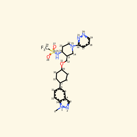 Cn1ncc2cc(C3CCC(OC[C@@H]4CN(c5cccnn5)CC[C@@H]4NS(=O)(=O)C(F)(F)F)CC3)ccc21